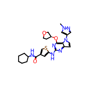 Cn1cc(-n2ccc3nc(Nc4cc(C(=O)NC5CCCCC5)cs4)nc(O[C@H]4CCOC4)c32)cn1